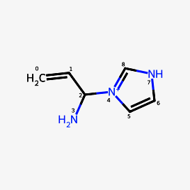 C=CC(N)[n+]1cc[nH]c1